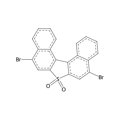 O=S1(=O)c2cc(Br)c3ccccc3c2-c2c1cc(Br)c1ccccc21